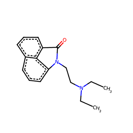 CCN(CC)CCN1C(=O)c2cccc3cccc1c23